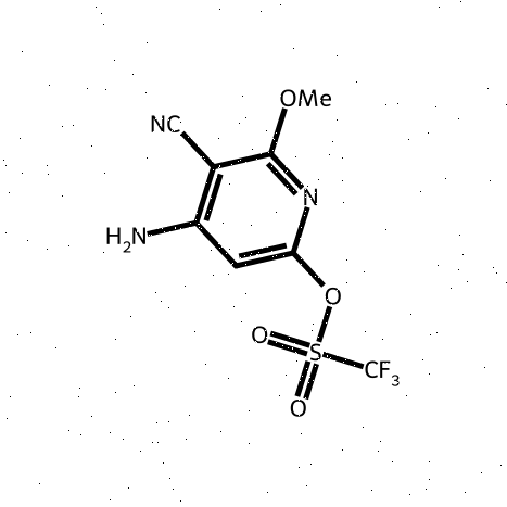 COc1nc(OS(=O)(=O)C(F)(F)F)cc(N)c1C#N